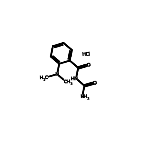 CN(C)c1ccccc1C(=O)NC(N)=O.Cl